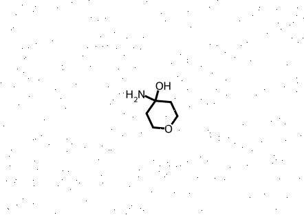 NC1(O)CCOCC1